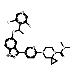 CC(Oc1ccc2[nH]nc(-c3ccc(N4CCN(C(=O)N(C)C)C5(CC5)C4)nc3)c2c1)c1c(Cl)cncc1Cl